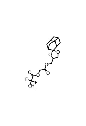 CC(F)(F)C(=O)OCC(=O)OCC1COC2(O1)C1CC3CC(C1)CC2C3